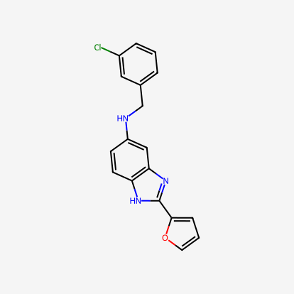 Clc1cccc(CNc2ccc3[nH]c(-c4ccco4)nc3c2)c1